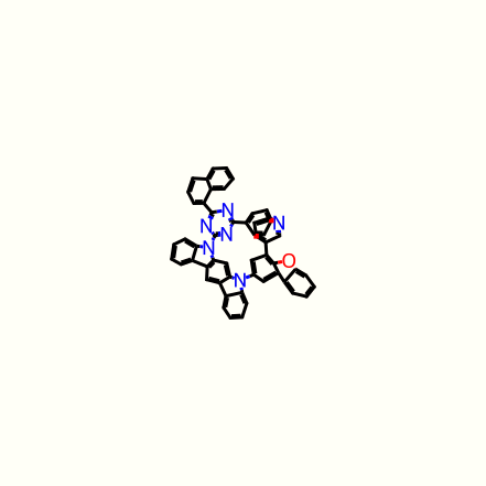 c1ccc(-c2nc(-c3cccc4ccccc34)nc(-n3c4ccccc4c4cc5c6ccccc6n(-c6cc(-c7cccnc7)c7oc8ccccc8c7c6)c5cc43)n2)cc1